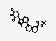 Cn1nc(C2CCC(=O)NC2=O)c2cccc(N3CCCC4(CCCN(C(=O)OC(C)(C)C)C4)C3)c21